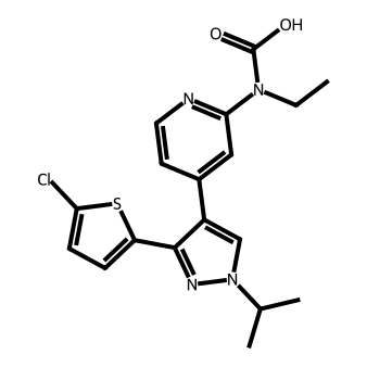 CCN(C(=O)O)c1cc(-c2cn(C(C)C)nc2-c2ccc(Cl)s2)ccn1